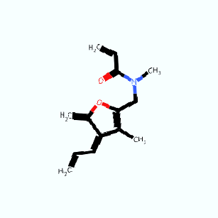 C=C/C=c1/c(C)c(CN(C)C(=O)C=C)oc1=C